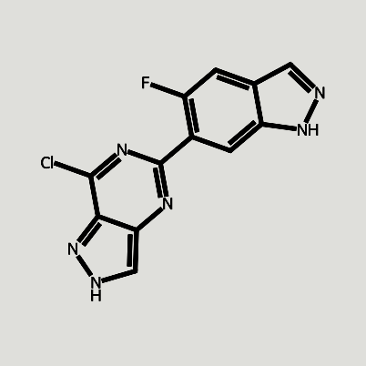 Fc1cc2cn[nH]c2cc1-c1nc(Cl)c2n[nH]cc2n1